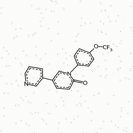 O=c1ccc(-c2cccnc2)cn1-c1ccc(OC(F)(F)F)cc1